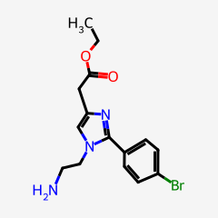 CCOC(=O)Cc1cn(CCN)c(-c2ccc(Br)cc2)n1